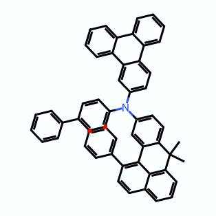 CC1(C)c2ccc(N(c3ccc(-c4ccccc4)cc3)c3ccc4c5ccccc5c5ccccc5c4c3)cc2-c2c(-c3ccccc3)ccc3cccc1c23